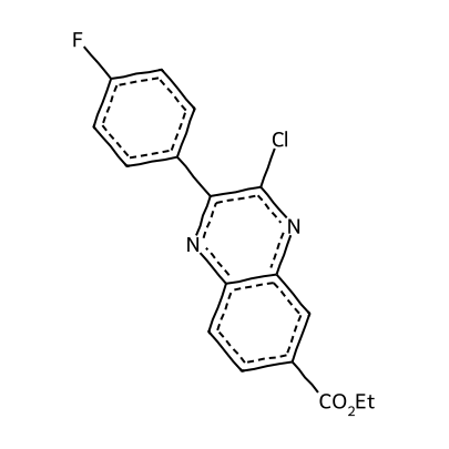 CCOC(=O)c1ccc2nc(-c3ccc(F)cc3)c(Cl)nc2c1